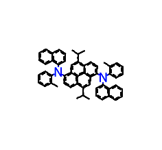 Cc1ccccc1N(c1cccc2ccccc12)c1ccc2c(C(C)C)cc3c(N(c4ccccc4C)c4cccc5ccccc45)ccc4c(C(C)C)cc1c2c43